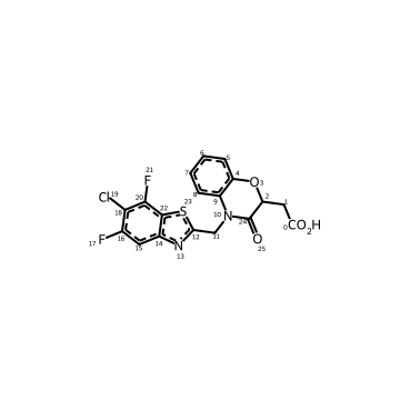 O=C(O)CC1Oc2ccccc2N(Cc2nc3cc(F)c(Cl)c(F)c3s2)C1=O